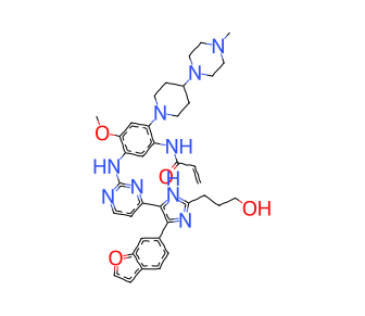 C=CC(=O)Nc1cc(Nc2nccc(-c3[nH]c(CCCO)nc3-c3ccc4ccoc4c3)n2)c(OC)cc1N1CCC(N2CCN(C)CC2)CC1